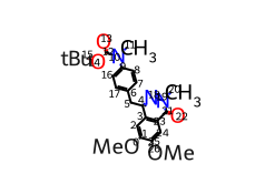 COc1cc2c(Cc3ccc(N(C)C(=O)OC(C)(C)C)cc3)nn(C)c(=O)c2cc1OC